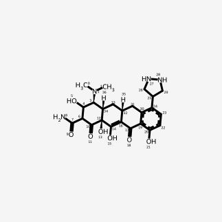 CN(C)[C@@H]1C(O)C(C(N)=O)C(=O)[C@@]2(O)C(O)=C3C(=O)c4c(O)ccc(C5CNNC5)c4C[C@H]3C[C@@H]12